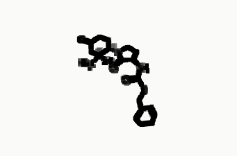 CC[C@@]1(C(=O)O)CC(=O)CC[C@@H]1N1CCC(NC(=O)OCc2ccccc2)C1=O